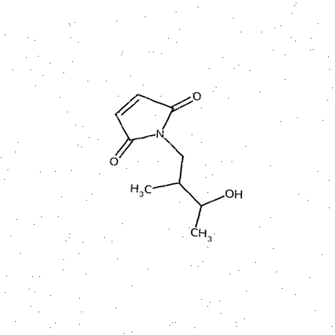 CC(O)C(C)CN1C(=O)C=CC1=O